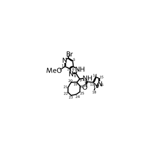 COc1nc(Br)cc2[nH]c(C(NC(=O)c3ccnn3C)C3CCCCCCC3)nc12